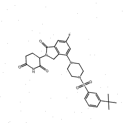 CC(C)(C)c1cccc(S(=O)(=O)N2CCN(c3cc(F)cc4c3CN(C3CCC(=O)NC3=O)C4=O)CC2)c1